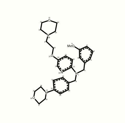 COc1cccc(CN(Cc2ccc(N3CCOCC3)cc2)c2ccc(OCCN3CCOCC3)cn2)c1